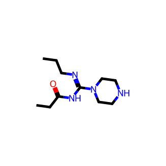 CCC/N=C(\NC(=O)CC)N1CCNCC1